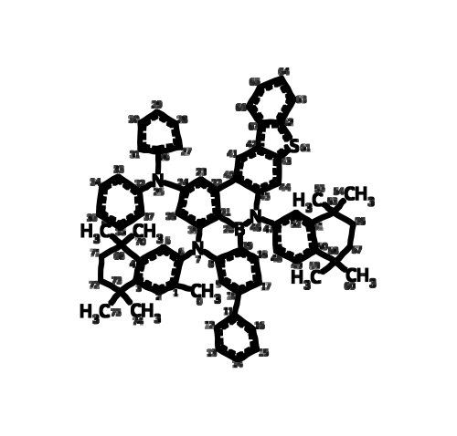 Cc1cc2c(cc1N1c3cc(-c4ccccc4)ccc3B3c4c(cc(N(c5ccccc5)c5ccccc5)cc41)-c1cc4c(cc1N3c1ccc3c(c1)C(C)(C)CCC3(C)C)sc1ccccc14)C(C)(C)CCC2(C)C